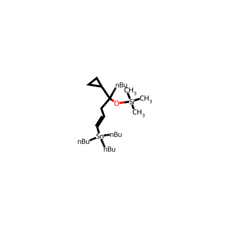 CCCCC(C/C=[CH]/[Sn]([CH2]CCC)([CH2]CCC)[CH2]CCC)(O[Si](C)(C)C)C1CC1